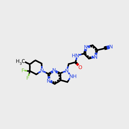 CC1CCN(c2ncc3c(n2)N(CC(=O)Nc2cnc(C#N)cn2)NC3)CC1(F)F